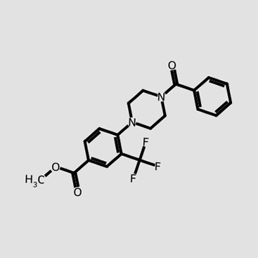 COC(=O)c1ccc(N2CCN(C(=O)c3ccccc3)CC2)c(C(F)(F)F)c1